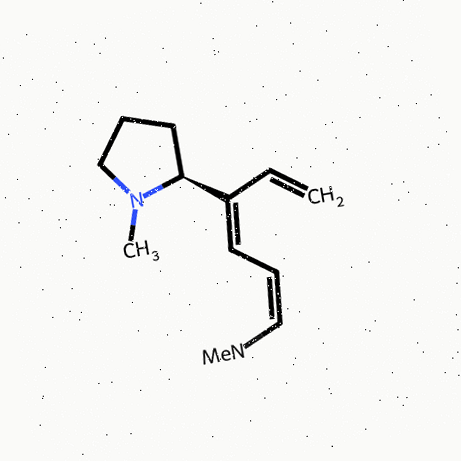 C=C/C(=C\C=C/NC)[C@@H]1CCCN1C